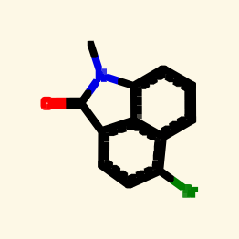 CN1C(=O)c2ccc(Br)c3cccc1c23